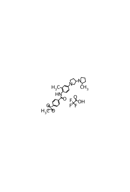 Cc1cc(N2CCC(N3CCCC3C)C2)ccc1NC(=O)c1ccc(S(C)(=O)=O)cc1.O=C(O)C(F)(F)F